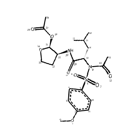 COc1ccc(S(=O)(=O)N(C(C)=O)[C@@H](CC(C)C)C(=O)N[C@H]2CCO[C@H]2OC(C)=O)cc1